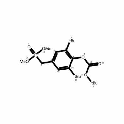 COP(=O)(Cc1cc(C(C)(C)C)c(OC(=O)OC(C)(C)C)c(C(C)(C)C)c1)OC